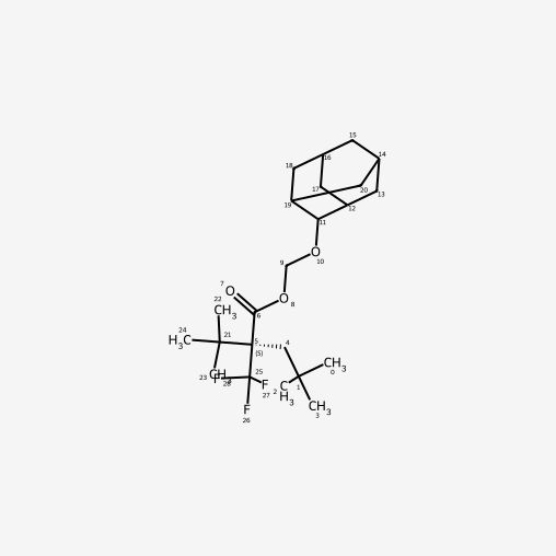 CC(C)(C)C[C@@](C(=O)OCOC1C2CC3CC(C2)CC1C3)(C(C)(C)C)C(F)(F)F